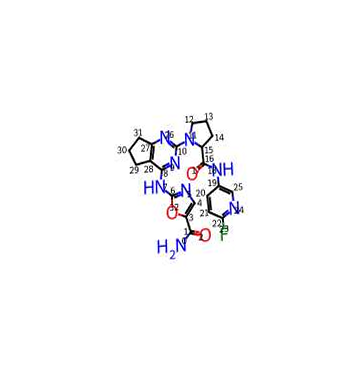 NC(=O)c1cnc(Nc2nc(N3CCCC3C(=O)Nc3ccc(F)nc3)nc3c2CCC3)o1